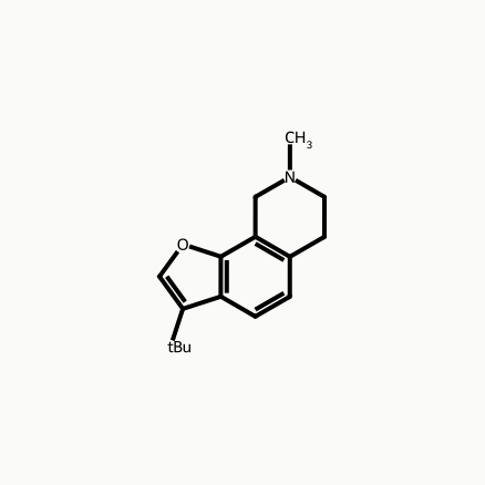 CN1CCc2ccc3c(C(C)(C)C)coc3c2C1